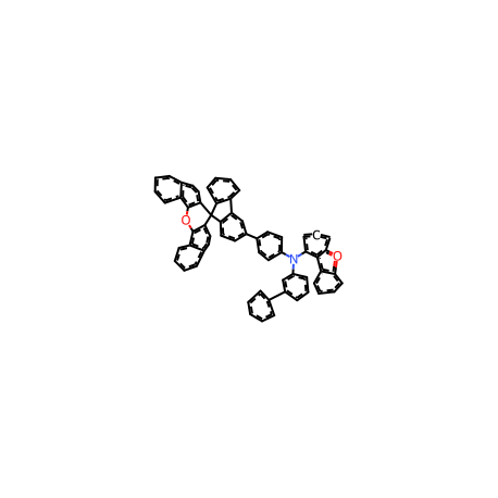 c1ccc(-c2cccc(N(c3ccc(-c4ccc5c(c4)-c4ccccc4C54c5ccc6ccccc6c5Oc5c4ccc4ccccc54)cc3)c3cccc4oc5ccccc5c34)c2)cc1